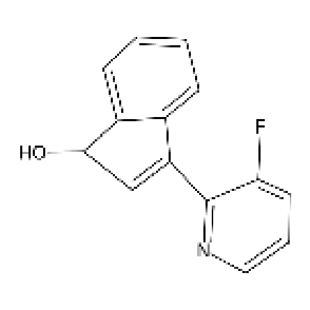 OC1C=C(c2ncccc2F)c2ccccc21